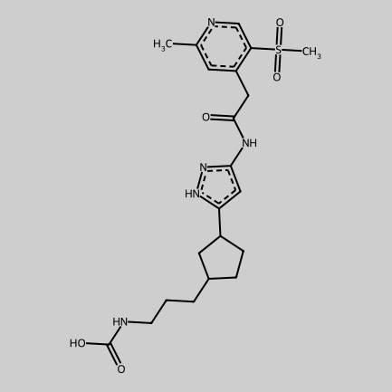 Cc1cc(CC(=O)Nc2cc(C3CCC(CCCNC(=O)O)C3)[nH]n2)c(S(C)(=O)=O)cn1